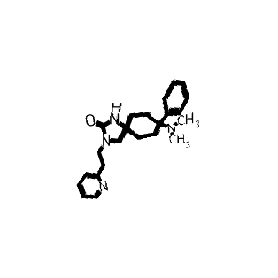 CN(C)C1(c2ccccc2)CCC2(CC1)CN(CCc1ccccn1)C(=O)N2